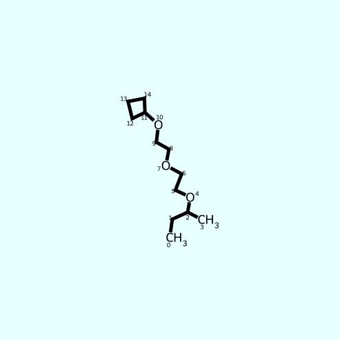 CCC(C)OCCOCCOC1CCC1